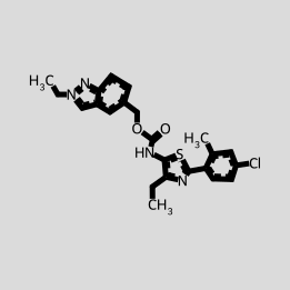 CCc1nc(-c2ccc(Cl)cc2C)sc1NC(=O)OCc1ccc2nn(CC)cc2c1